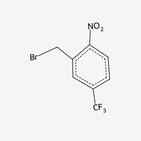 O=[N+]([O-])c1ccc(C(F)(F)F)cc1CBr